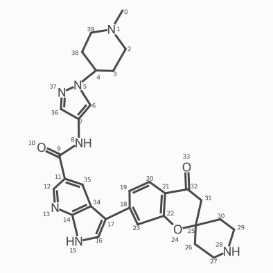 CN1CCC(n2cc(NC(=O)c3cnc4[nH]cc(-c5ccc6c(c5)OC5(CCNCC5)CC6=O)c4c3)cn2)CC1